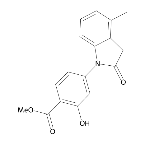 COC(=O)c1ccc(N2C(=O)Cc3c(C)cccc32)cc1O